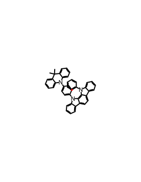 CC1(C)c2ccccc2N(c2ccc(-n3c4ccccc4c4ccc5c6ccccc6n(-c6ccccc6)c5c43)cc2)c2ccccc21